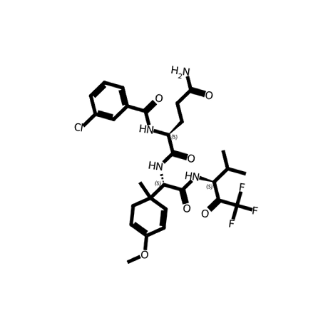 COC1=CCC(C)([C@H](NC(=O)[C@H](CCC(N)=O)NC(=O)c2cccc(Cl)c2)C(=O)N[C@H](C(=O)C(F)(F)F)C(C)C)C=C1